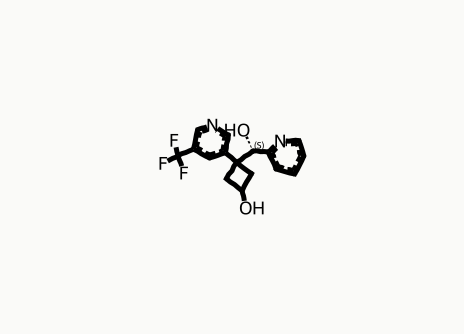 OC1CC(c2cncc(C(F)(F)F)c2)([C@H](O)c2ccccn2)C1